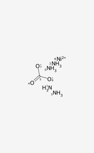 N.N.N.N.O=C([O-])[O-].[Ni+2]